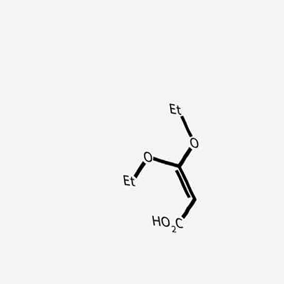 CCOC(=CC(=O)O)OCC